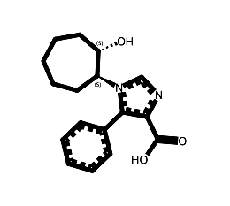 O=C(O)c1ncn([C@H]2CCCCC[C@@H]2O)c1-c1ccccc1